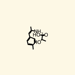 CC(N)=Cc1ccc(C)cc1.CC(O)C(=O)O